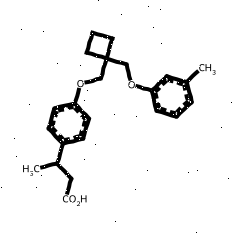 Cc1cccc(OCC2(COc3ccc(C(C)CC(=O)O)cc3)CCC2)c1